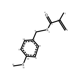 C=C(C)C(=O)SCc1ccc(SC)cc1